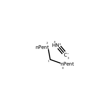 CCCCCCCCCCC.[C-]#[NH+]